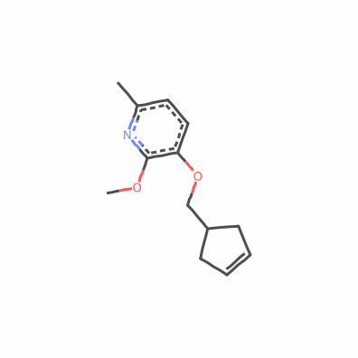 COc1nc(C)ccc1OCC1CC=CC1